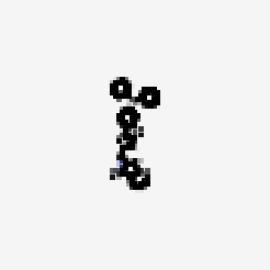 O=C1/C(=C/c2cc3oc4cc(N(c5ccccc5)c5ccccc5)ccc4c3s2)C(=O)c2ncccc21